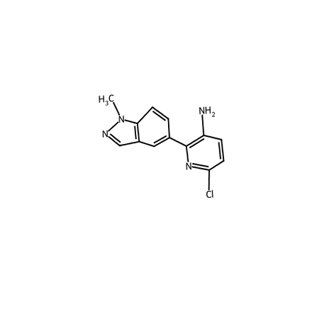 Cn1ncc2cc(-c3nc(Cl)ccc3N)ccc21